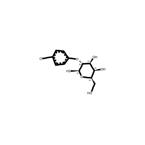 OC[C@H]1O[C@@H](S)[C@H](Oc2ccc(Cl)cc2)[C@@H](O)[C@H]1O